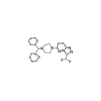 FC(F)c1nnc2ccc(N3CCN(C(c4ccccc4)c4ccccc4)CC3)nn12